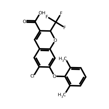 Cc1cccc(C)c1Oc1cc2c(cc1Cl)C=C(C(=O)O)C(C(F)(F)F)O2